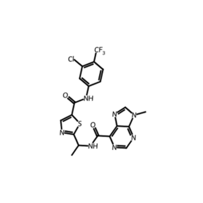 CC(NC(=O)c1ncnc2c1ncn2C)c1ncc(C(=O)Nc2ccc(C(F)(F)F)c(Cl)c2)s1